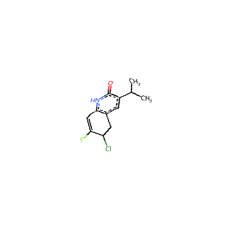 CC(C)c1cc2c([nH]c1=O)C=C(F)C(Cl)C2